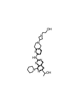 CC(O)c1cc2cnc(Nc3ccc4c(n3)CCN(C3CN(CCO)C3)C4)nc2c(N2CCCCC2)n1